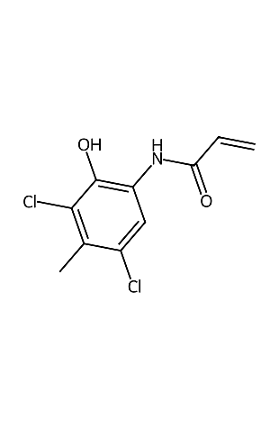 C=CC(=O)Nc1cc(Cl)c(C)c(Cl)c1O